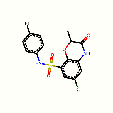 CCc1ccc(NS(=O)(=O)c2cc(Cl)cc3c2OC(C)C(=O)N3)cc1